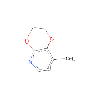 Cc1ccnc2c1OCCO2